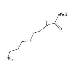 CCCCCC(=O)NCCCCCCN